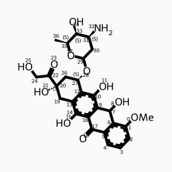 COc1cccc2c1C(O)c1c(O)c3c(c(O)c1C2=O)C[C@@](O)(C(=O)CO)C[C@@H]3OC1C[C@H](N)[C@H](O)[C@H](C)O1